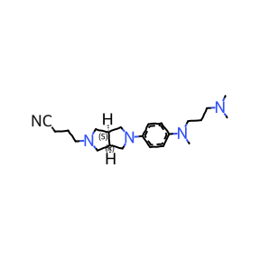 CN(C)CCCN(C)c1ccc(N2C[C@H]3CN(CCCC#N)C[C@H]3C2)cc1